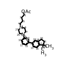 CC(=O)OCCCCN1CCN(c2cccc(-c3ccc4c(c3)CCC4(C)C)n2)CC1